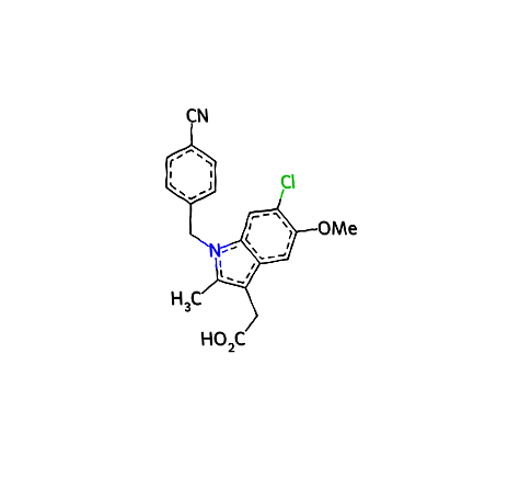 COc1cc2c(CC(=O)O)c(C)n(Cc3ccc(C#N)cc3)c2cc1Cl